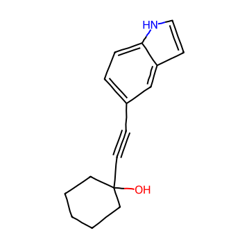 OC1(C#Cc2ccc3[nH]ccc3c2)CCCCC1